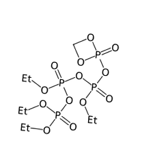 CCOP(=O)(OCC)OP(=O)(OCC)OP(=O)(OCC)OP1(=O)OCO1